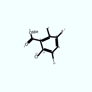 COC(=O)c1c(C)c(F)cc(I)c1Cl